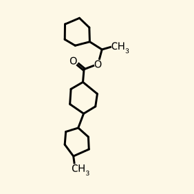 CC1CCC(C2CCC(C(=O)OC(C)C3CCCCC3)CC2)CC1